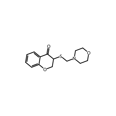 O=C1c2ccccc2OCC1SCN1CCOCC1